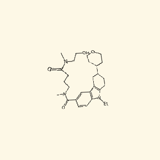 CCn1c2c(c3cc(C(=O)N(C)CCCC(=O)N(C)CCO)ccc31)CC(C1CCOCC1)CC2